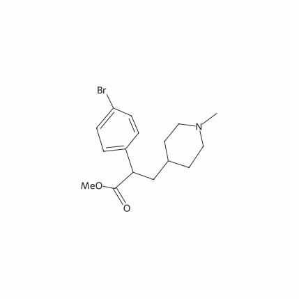 COC(=O)C(CC1CCN(C)CC1)c1ccc(Br)cc1